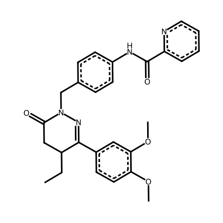 CCC1CC(=O)N(Cc2ccc(NC(=O)c3ccccn3)cc2)N=C1c1ccc(OC)c(OC)c1